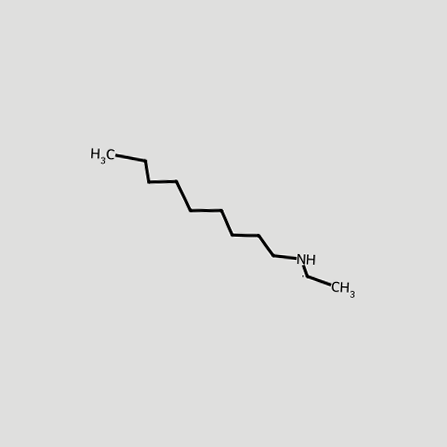 C[CH]NCCCCCCCCC